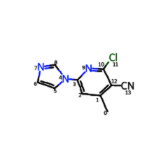 Cc1cc(-n2ccnc2)nc(Cl)c1C#N